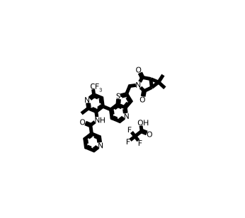 Cc1nc(C(F)(F)F)cc(-c2ccnc3cc(CN4C(=O)C5C(C4=O)C5(C)C)sc23)c1NC(=O)c1cccnc1.O=C(O)C(F)(F)F